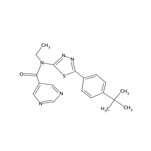 CCN(C(=O)c1cncnc1)c1nnc(-c2ccc(C(C)(C)C)cc2)s1